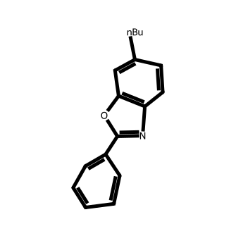 CCCCc1ccc2nc(-c3ccccc3)oc2c1